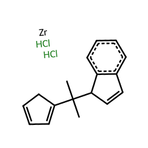 CC(C)(C1=CC=CC1)C1C=Cc2ccccc21.Cl.Cl.[Zr]